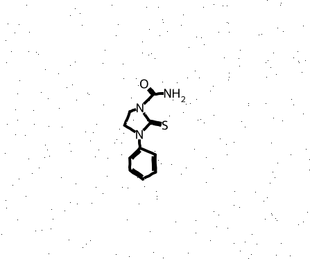 NC(=O)N1CCN(c2ccccc2)C1=S